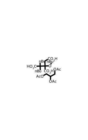 CC(=O)OCC(COC(C)=O)OC(C)=O.CCCCOC(CC(=O)O)(C(=O)O)C(CCCC)(CCCC)C(=O)O